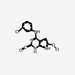 CCOc1cc2c([nH]1)NC(=C=O)N=C2Nc1cccc(Cl)c1